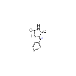 O=C1NC(=O)/C(=C/c2ccncc2)N1